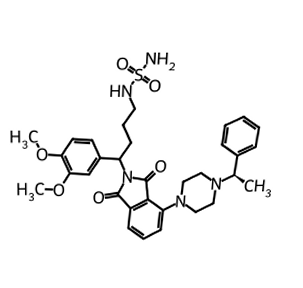 COc1ccc(C(CCCNS(N)(=O)=O)N2C(=O)c3cccc(N4CCN([C@H](C)c5ccccc5)CC4)c3C2=O)cc1OC